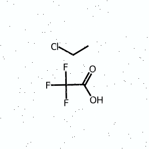 CCCl.O=C(O)C(F)(F)F